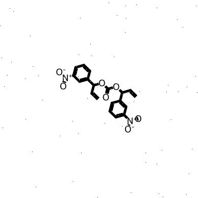 C=CC(OC(=O)OC(C=C)c1cccc([N+](=O)[O-])c1)c1cccc([N+](=O)[O-])c1